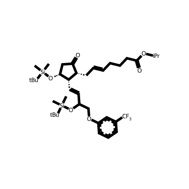 CC(C)OC(=O)CCCC=CC[C@H]1C(=O)C[C@@H](O[Si](C)(C)C(C)(C)C)[C@H]1C=CC(COc1cccc(C(F)(F)F)c1)O[Si](C)(C)C(C)(C)C